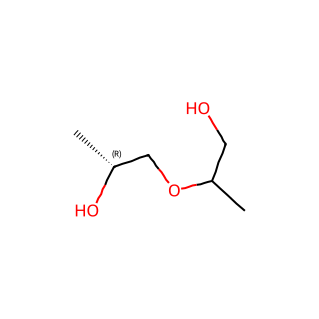 CC(CO)OC[C@@H](C)O